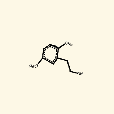 COc1ccc(OC)c(CC[NH])c1